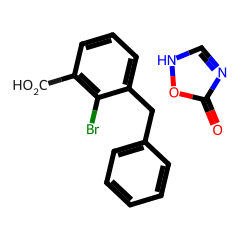 O=C(O)c1cccc(Cc2ccccc2)c1Br.O=c1nc[nH]o1